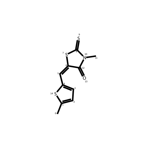 Cc1ccc(C=C2SC(=S)N(C)C2=O)s1